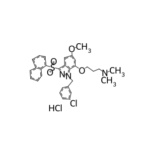 COc1cc(OCCCN(C)C)c2c(c1)c(S(=O)(=O)c1cccc3ccccc13)nn2Cc1cccc(Cl)c1.Cl